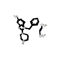 O=C(O)/C=C/C(=O)O.O=[N+]([O-])c1ccc2c(c1)nc(N1CCNCC1)n2Cc1ccccc1